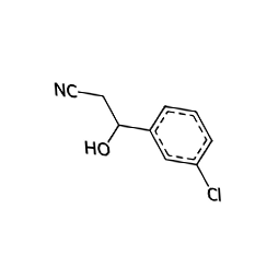 N#CCC(O)c1cccc(Cl)c1